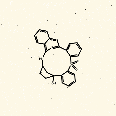 O=S1(=O)c2ccccc2-c2nc(c3ccccc3n2)NC2CCC(O)(C2)c2ccccc21